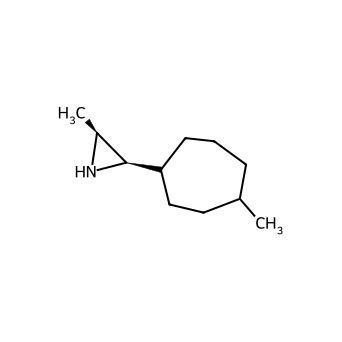 CC1CCCC([C@H]2N[C@H]2C)CC1